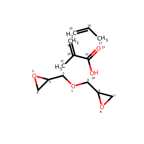 C(OCC1CO1)C1CO1.C=C(C)C(=O)O.C=CC